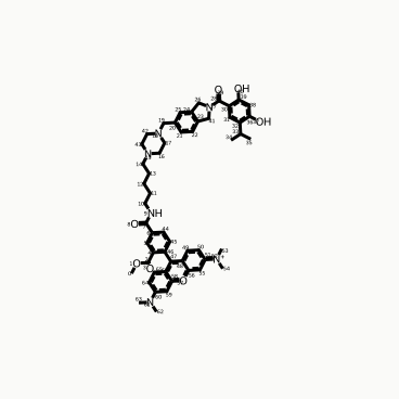 COC(=O)c1cc(C(=O)NCCCCCN2CCN(Cc3ccc4c(c3)CN(C(=O)c3cc(C(C)C)c(O)cc3O)C4)CC2)ccc1-c1c2ccc(=[N+](C)C)cc-2oc2cc(N(C)C)ccc12